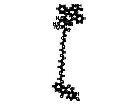 CO[C@@H]1[C@H](N(C)C(=O)CCOCCOCCOCCOCCOCCOc2cccc3c2C(=O)N(C2CCC(=O)NC2=O)C3=O)C[C@H]2O[C@]1(C)n1c3ccccc3c3c4c(c5c6ccccc6n2c5c31)C(=O)NC4